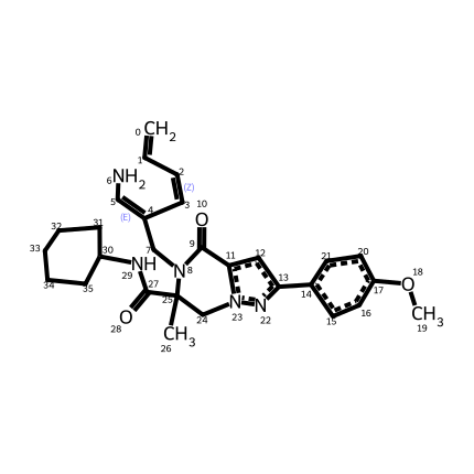 C=C/C=C\C(=C/N)CN1C(=O)c2cc(-c3ccc(OC)cc3)nn2CC1(C)C(=O)NC1CCCCC1